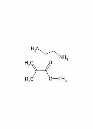 C=C(C)C(=O)OC.NCCN